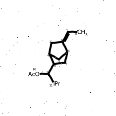 CC=C1CC2CC1CC2C(OC(C)=O)C(C)C